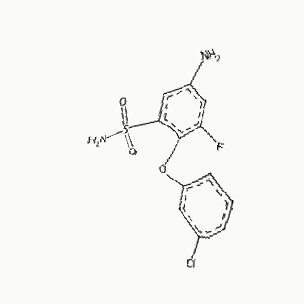 Nc1cc(F)c(Oc2cccc(Cl)c2)c(S(N)(=O)=O)c1